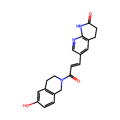 O=C1CCc2cc(C=CC(=O)N3CCc4cc(O)ccc4C3)cnc2N1